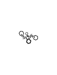 O=c1n(SN2CCCCC2)c2ccccc2n1SN1CCCCC1